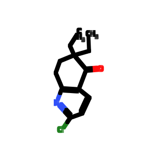 CCC1(CC)CCc2nc(Cl)ccc2C1=O